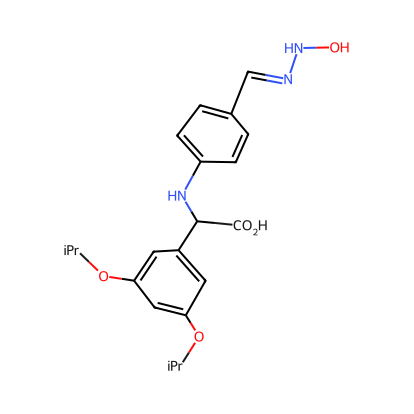 CC(C)Oc1cc(OC(C)C)cc(C(Nc2ccc(C=NNO)cc2)C(=O)O)c1